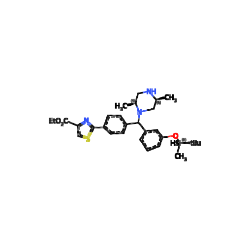 CCOC(=O)c1csc(-c2ccc(C(c3cccc(O[Si@H](C)C(C)(C)C)c3)N3C[C@H](C)NC[C@@H]3C)cc2)n1